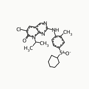 Cc1cc([S+]([O-])C2CCCCC2)ccc1Nc1ncc2cc(Cl)c(=O)n(C(C)C)c2n1